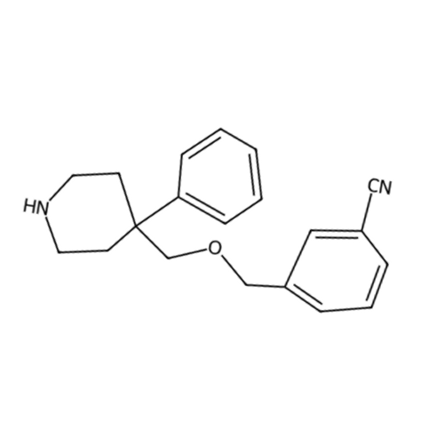 N#Cc1cccc(COCC2(c3ccccc3)CCNCC2)c1